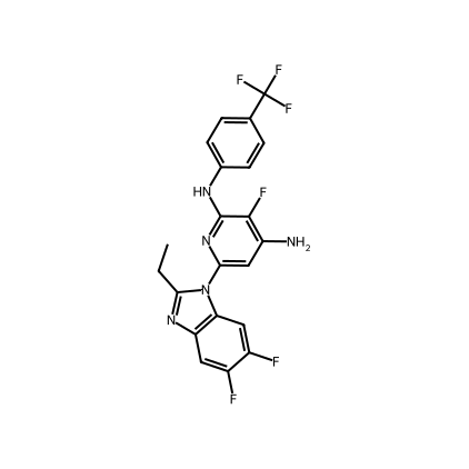 CCc1nc2cc(F)c(F)cc2n1-c1cc(N)c(F)c(Nc2ccc(C(F)(F)F)cc2)n1